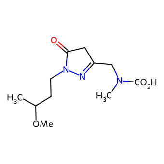 COC(C)CCN1N=C(CN(C)C(=O)O)CC1=O